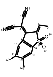 C/C=C1/C(=C(C#N)C#N)c2cc(F)c(F)cc2S1(=O)=O